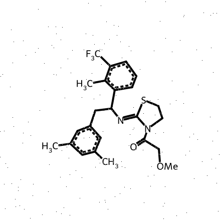 COCC(=O)N1CCSC1=NC(Cc1cc(C)cc(C)c1)c1cccc(C(F)(F)F)c1C